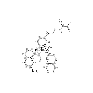 C=C(C)C(=O)OCCOc1ccc2c(c1)[C@]1(C)C3=C(OC(c4cccc5ccc([N+](=O)[O-])cc45)(N2)C1(C)C)c1ccccc1OC3